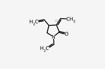 C=CC1CN(C=C)C(=O)/C1=C\C